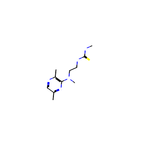 CNC(=S)NCCN(C)c1nc(C)cnc1C